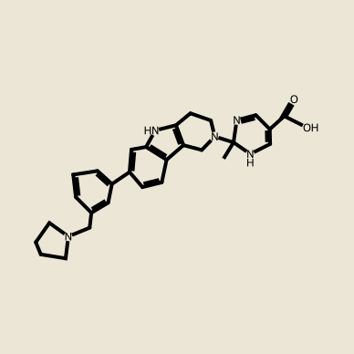 CC1(N2CCc3[nH]c4cc(-c5cccc(CN6CCCC6)c5)ccc4c3C2)N=CC(C(=O)O)=CN1